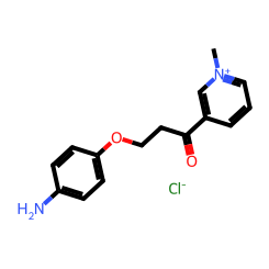 C[n+]1cccc(C(=O)CCOc2ccc(N)cc2)c1.[Cl-]